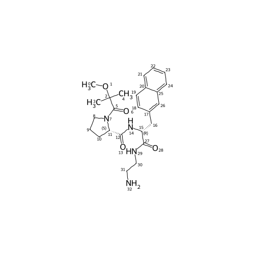 COC(C)(C)C(=O)N1CCC[C@H]1C(=O)N[C@H](Cc1ccc2ccccc2c1)C(=O)NCCN